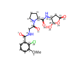 COc1cccc(C(=O)NCC(=O)N2CCC[C@H]2C(=O)N[C@H]2CC(=O)O[C@H]2O)c1Cl